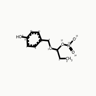 CCC(OCc1ccc(O)cc1)O[N+](=O)[O-]